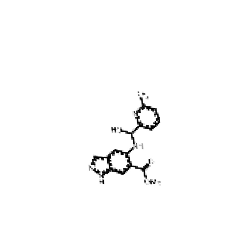 COC(=O)c1cc2[nH]ncc2cc1NC(O)c1cccc(C(F)(F)F)n1